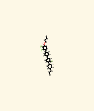 CCCCOc1ccc(-c2ccc(-c3ccc(C4=CCC(CCC)CC4)c(F)c3)cc2)c(F)c1F